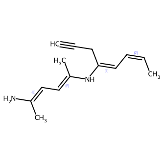 C#CC/C(=C\C=C/C)N/C(C)=C/C=C(\C)N